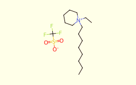 CCCCCCCC[N+]1(CC)CCCCC1.O=S(=O)([O-])C(F)(F)F